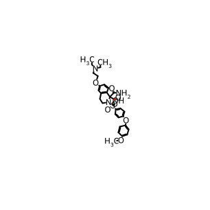 CCN(CC)CCOc1ccc2c(c1)CCN(S(=O)(=O)c1ccc(Oc3ccc(OC)cc3)cc1)C2(C(N)=O)C(=O)O